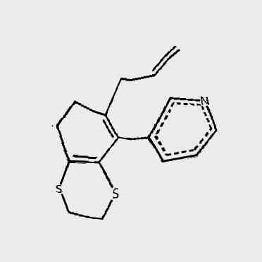 C=CCC1=C(c2cccnc2)C2=C([CH]C1)SCCS2